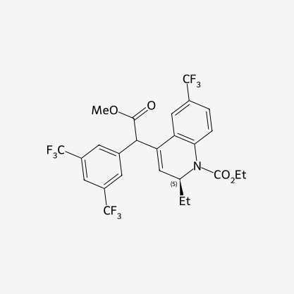 CCOC(=O)N1c2ccc(C(F)(F)F)cc2C(C(C(=O)OC)c2cc(C(F)(F)F)cc(C(F)(F)F)c2)=C[C@@H]1CC